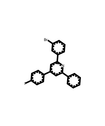 Brc1cccc(-c2cc(-c3ccc(I)cc3)cc(-c3ccccc3)n2)c1